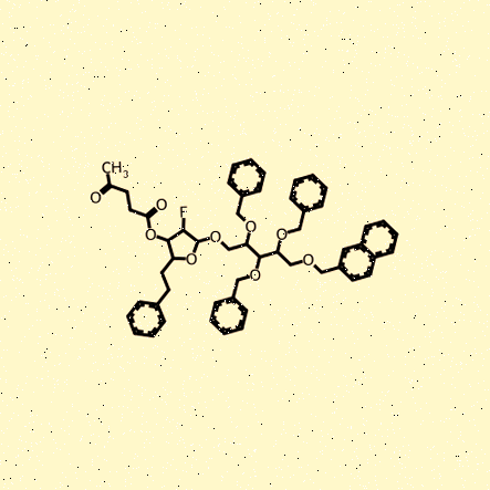 CC(=O)CCC(=O)OC1C(CCc2ccccc2)OC(OCC(OCc2ccccc2)C(OCc2ccccc2)C(COCc2ccc3ccccc3c2)OCc2ccccc2)C1F